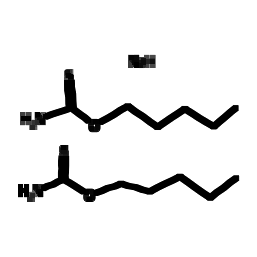 CCCCCOC(N)=S.CCCCCOC(N)=S.[NaH]